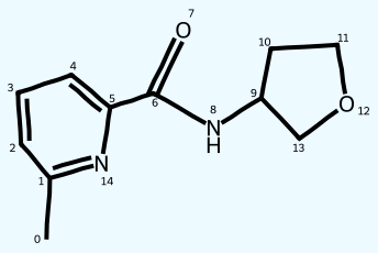 Cc1cccc(C(=O)NC2CCOC2)n1